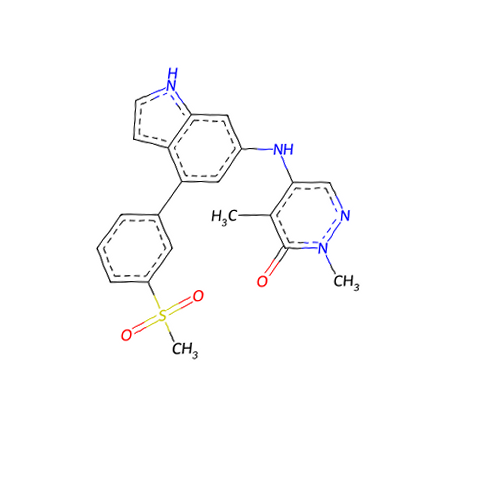 Cc1c(Nc2cc(-c3cccc(S(C)(=O)=O)c3)c3cc[nH]c3c2)cnn(C)c1=O